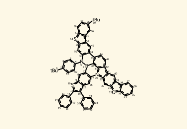 CC(C)(C)c1ccc(N2B3c4cc5sc(-c6ccccc6)c(-c6ccccc6)c5cc4-n4c5cc6oc7ccccc7c6cc5c5ccc(c3c54)-c3cc4c(cc32)sc2ccc(C(C)(C)C)cc24)cc1